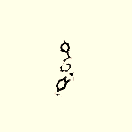 CS(=O)(=O)c1ccc2c(c1)[nH]c(=O)n2C1CCN(CC(O)c2ccc(Cl)cc2)CC1